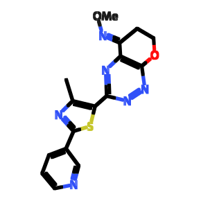 CO/N=C1\CCOc2nnc(-c3sc(-c4cccnc4)nc3C)nc21